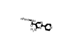 CCCCCNC(=O)c1cnc(-c2ccncc2)nc1N